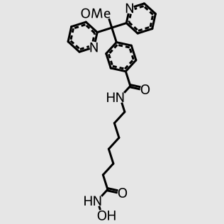 COC(c1ccc(C(=O)NCCCCCCC(=O)NO)cc1)(c1ccccn1)c1ccccn1